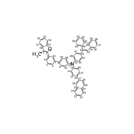 Cc1c(-c2cccc(-c3ccc(N(c4ccc(-c5ccc6ccccc6c5)cc4)c4ccc(-c5cc6ccccc6c6ccccc56)cc4)cc3)c2)oc2ccccc12